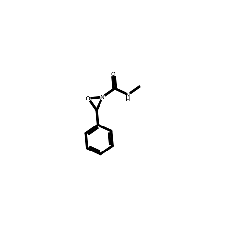 CNC(=O)N1OC1c1ccccc1